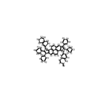 C=C/C=C\c1cc(-n2c(-c3ccccc3)c(-c3ccccc3)c3cc4ccc5c6c(ccc(c46)c32)cc2c(-c3ccccc3)c(-c3ccccc3)n(C3=CC4=C(C=CCC4)CC3)c25)ccc1C